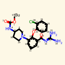 CC(C)(C)OC(=O)NC1CCN(c2cccc(C(=O)N=C(N)N)c2Oc2ccccc2Cl)CC1